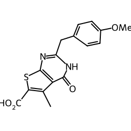 COc1ccc(Cc2nc3sc(C(=O)O)c(C)c3c(=O)[nH]2)cc1